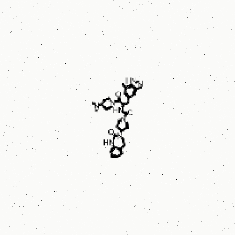 Cc1cc(CC(NC(=O)N2CCC(N3CCc4ccccc4NC3=O)CC2)C(=O)N2CCC(N(C)C)CC2)cc2cn[nH]c12